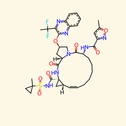 Cc1cc(C(=O)N[C@H]2CCCCCC=C[C@@H]3C[C@@]3(C(=O)NS(=O)(=O)C3(C)CC3)NC(=O)[C@@H]3C[C@@H](Oc4nc5ccccc5nc4C(C)(F)F)CN3C2=O)no1